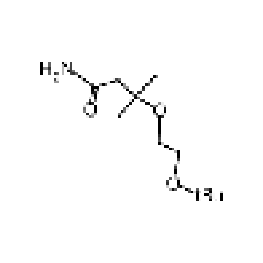 CC(C)(C)OCCOC(C)(C)CC(N)=O